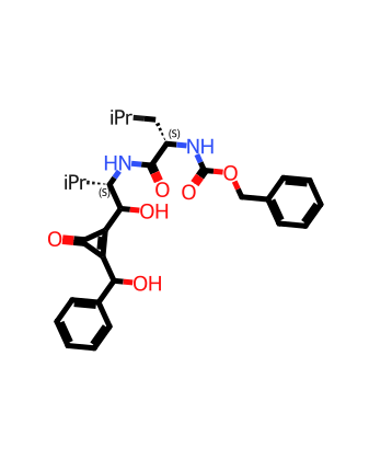 CC(C)C[C@H](NC(=O)OCc1ccccc1)C(=O)N[C@@H](C(C)C)C(O)c1c(C(O)c2ccccc2)c1=O